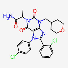 CC(C(N)=O)n1c(=O)c2c(nc(-c3ccccc3Cl)n2-c2ccc(Cl)cc2)n(CC2CCOCC2)c1=O